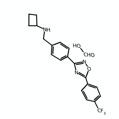 FC(F)(F)c1ccc(-c2nc(-c3ccc(CNC4CCC4)cc3)no2)cc1.O=CO